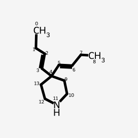 CCC=CC1(C=CCC)CCNCC1